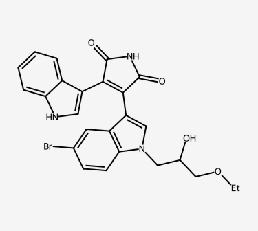 CCOCC(O)Cn1cc(C2=C(c3c[nH]c4ccccc34)C(=O)NC2=O)c2cc(Br)ccc21